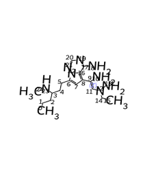 CCCC(CCc1cc(/C(N)=C/N(N)CC)c2c(N)ncnn12)NC